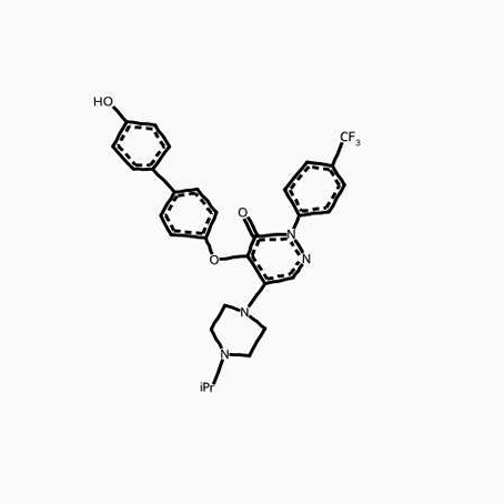 CC(C)N1CCN(c2cnn(-c3ccc(C(F)(F)F)cc3)c(=O)c2Oc2ccc(-c3ccc(O)cc3)cc2)CC1